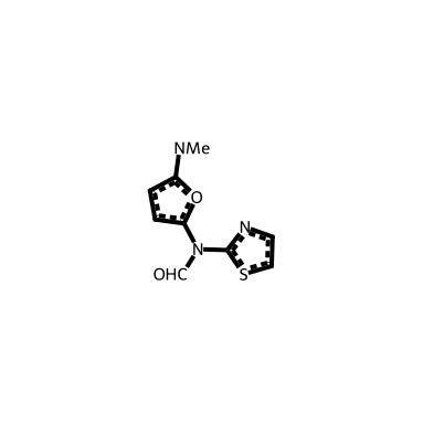 CNc1ccc(N(C=O)c2nccs2)o1